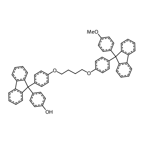 COc1ccc(C2(c3ccc(OCCCCOc4ccc(C5(c6ccc(O)cc6)c6ccccc6-c6ccccc65)cc4)cc3)c3ccccc3-c3ccccc32)cc1